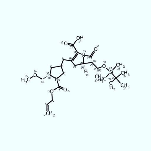 C=CCOC(=O)N1CC(CC2=C(C(=O)O)N3C(=O)[C@H]([C@@H](C)O[Si](C)(C)C(C)(C)C)[C@H]3C2)C[C@H]1COC